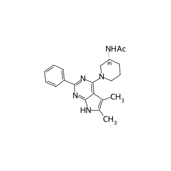 CC(=O)N[C@@H]1CCCN(c2nc(-c3ccccc3)nc3[nH]c(C)c(C)c23)C1